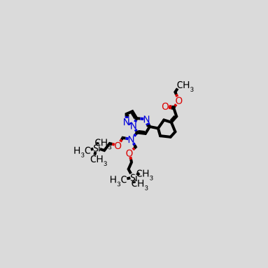 CCOC(=O)/C=C1/CCCC(c2cc(N(COCC[Si](C)(C)C)COCC[Si](C)(C)C)n3nccc3n2)C1